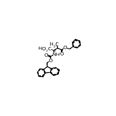 CC(C(=O)OCc1ccccc1)[C@@H](NC(=O)OCC1c2ccccc2-c2ccccc21)C(=O)O